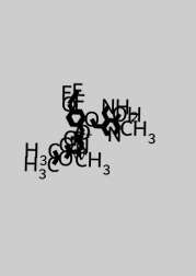 Cc1ncc(COc2cc(OC(F)(F)F)ccc2O[P+]([O-])=N[C@@H](C)C(=O)OC(C)C)c(CN)c1O